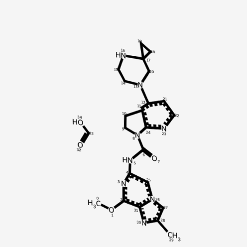 COc1nc(NC(=O)N2CCc3c(N4CCNC5(CC5)C4)ccnc32)cn2cc(C)nc12.O=CO